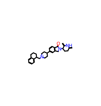 C=C1CCC(N2Cc3cc(C4CCN(CC5CCCc6ccccc65)CC4)ccc3C2=O)C(=C)N1